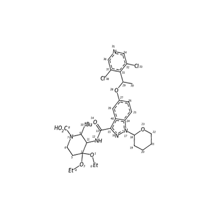 CCOC1(OCC)CCN(C(=O)O)C(C(C)(C)C)C1NC(=O)c1nn(C2CCCCO2)c2ccc(OC(C)c3c(Cl)cncc3Cl)cc12